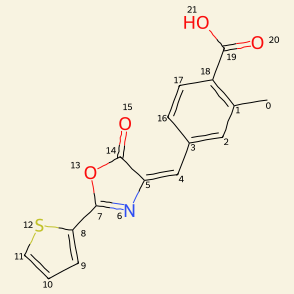 Cc1cc(/C=C2/N=C(c3cccs3)OC2=O)ccc1C(=O)O